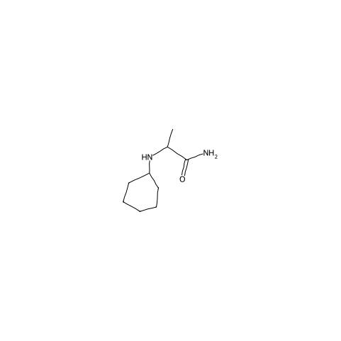 CC(NC1CCCCC1)C(N)=O